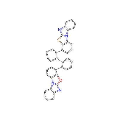 c1ccc(-c2cccc3c2oc2nc4ccccc4n23)c(-c2ccccc2-c2cccc3c2sc2nc4ccccc4n23)c1